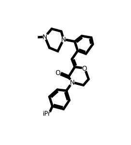 CC(C)c1ccc(N2CCO/C(=C\c3ccccc3N3CCN(C)CC3)C2=O)cc1